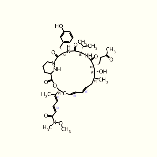 CON(C)C(=O)/C=C/C=C(\C)[C@@H]1C/C=C/C=C/C[C@H](C)[C@@H](O)[C@@H](CCC(C)=O)C(=O)N[C@@H](C(C)C)C(=O)N[C@@H](Cc2cccc(O)c2)C(=O)N2CCCC(N2)C(=O)O1